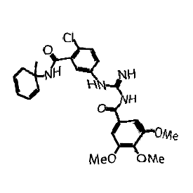 COc1cc(C(=O)NC(=N)Nc2ccc(Cl)c(C(=O)NC3(C)C=CC=CC3)c2)cc(OC)c1OC